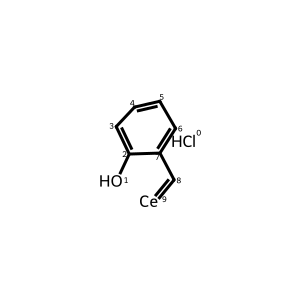 Cl.Oc1ccccc1[CH]=[Ce]